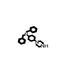 c1ccc(CN(Cc2ccccc2)C2CCC(N3CCNCC3)CC2)cc1